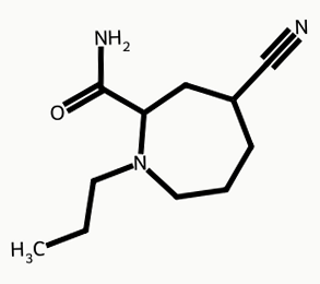 CCCN1CCC[C](C#N)CC1C(N)=O